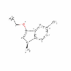 CCOC1=C[C@H](C)c2ccc(C)cc21